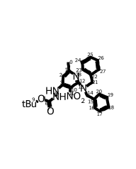 Cc1cc(NNC(=O)OC(C)(C)C)c([N+](=O)[O-])c(N(Cc2ccccc2)Cc2ccccc2)n1